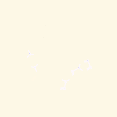 Cc1nn(-c2ccc3nnc(C)n3n2)c(C)c1CCC(=O)N1CCN(Cc2ccc(C(F)(F)F)cc2)CC1